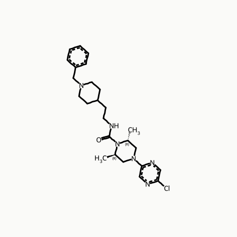 C[C@@H]1CN(c2cnc(Cl)cn2)C[C@@H](C)N1C(=O)NCCC1CCN(Cc2ccccc2)CC1